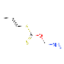 CC=CSC(=S)OCN